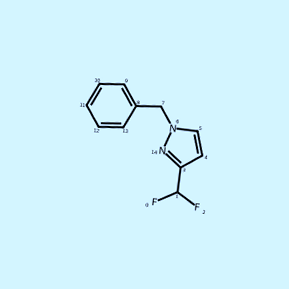 FC(F)c1ccn(Cc2ccccc2)n1